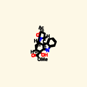 COC(=O)[C@@]1(O)C2=Nc3ccccc3[C@@]23C[C@H]2C[C@]4(C(C)=O)ON2[C@@H]3C[C@@H]14